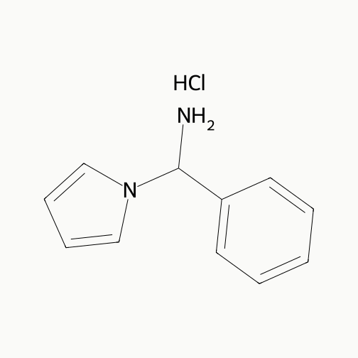 Cl.NC(c1ccccc1)n1cccc1